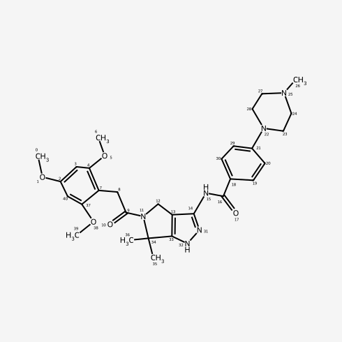 COc1cc(OC)c(CC(=O)N2Cc3c(NC(=O)c4ccc(N5CCN(C)CC5)cc4)n[nH]c3C2(C)C)c(OC)c1